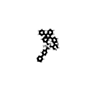 c1ccc(-c2ccc(C3=NC(c4cncc5sc6ccc(-c7ccc(-c8ccccc8)c8ccccc78)cc6c45)=NC(c4ccccc4)N3)cc2)cc1